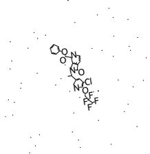 CC(c1cnc(OCC(F)(F)C(F)F)c(Cl)c1)N1Cc2c(ccnc2C(=O)Oc2ccccc2)C1=O